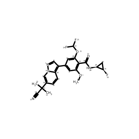 COc1cc(-c2cnn3cc(C(C)(C)C#N)ccc23)cc(OC(F)F)c1C(=O)N[C@H]1C[C@H]1F